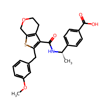 COc1cccc(Cc2sc3c(c2C(=O)N[C@@H](C)c2ccc(C(=O)O)cc2)CCOC3)c1